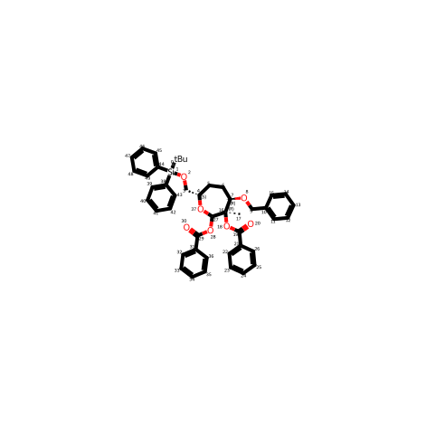 CC(C)(C)[Si](OC[C@@H]1CC[C@@H](OCc2ccccc2)[C@@](C)(OC(=O)c2ccccc2)C(OC(=O)c2ccccc2)O1)(c1ccccc1)c1ccccc1